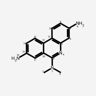 CN(C)c1nc2cc(N)ccc2c2ccc(N)cc12